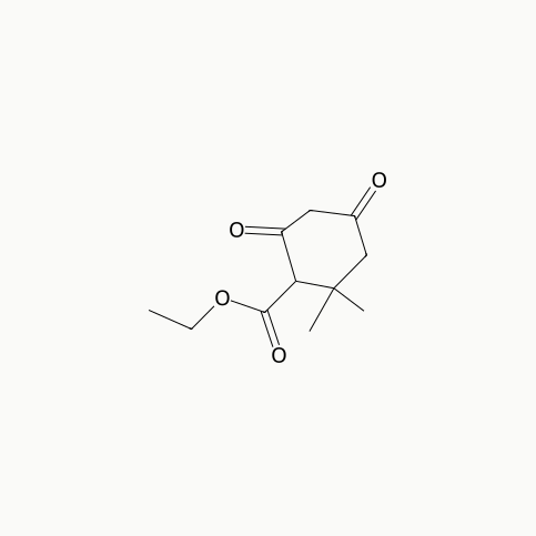 CCOC(=O)C1C(=O)CC(=O)CC1(C)C